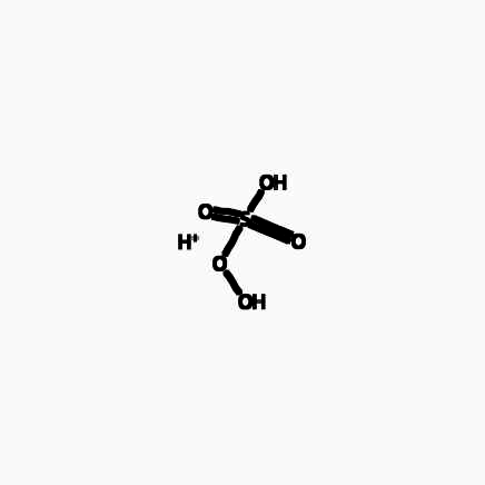 O=S(=O)(O)OO.[H+]